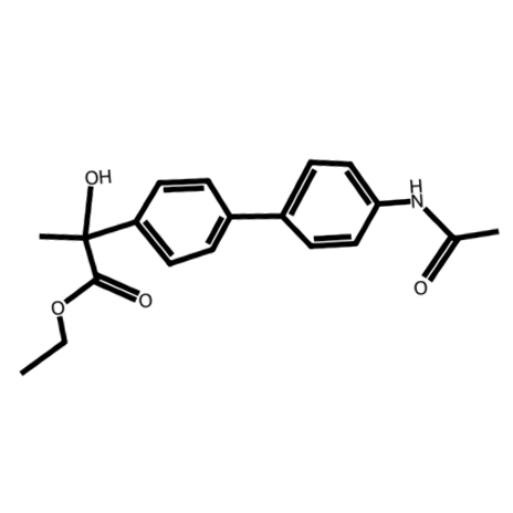 CCOC(=O)C(C)(O)c1ccc(-c2ccc(NC(C)=O)cc2)cc1